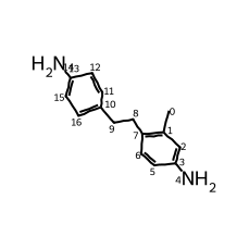 Cc1cc(N)ccc1CCc1ccc(N)cc1